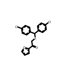 O=C(CSC(c1ccc(Cl)cc1)c1ccc(Cl)cc1)c1ccco1